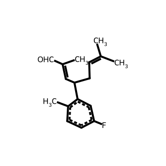 CC(C)=CCC(/C=C(\C)C=O)c1cc(F)ccc1C